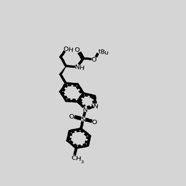 Cc1ccc(S(=O)(=O)n2ncc3cc(C[C@@H](CO)NC(=O)OC(C)(C)C)ccc32)cc1